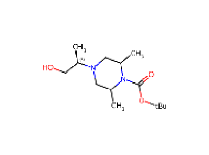 CC1CN([C@H](C)CO)CC(C)N1C(=O)OC(C)(C)C